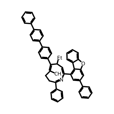 CCC1/C=C(c2cc(-c3ccccc3)cc3oc4ccccc4c23)\N=C(\c2ccccc2)CC/C(C)=C/1c1ccc(-c2ccc(-c3ccccc3)cc2)cc1